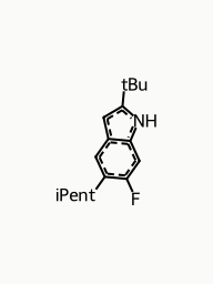 CCCC(C)c1cc2cc(C(C)(C)C)[nH]c2cc1F